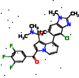 Cc1cc2c(nc(C)n2C)c(Cl)c1-c1cccn2c(C(=O)c3cc(F)c(F)c(F)c3)cc(C(=O)N(C)C)c12